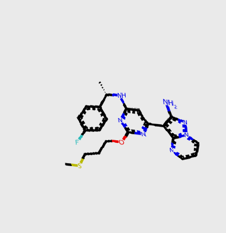 CSCCCOc1nc(N[C@@H](C)c2ccc(F)cc2)cc(-c2c(N)nn3cccnc23)n1